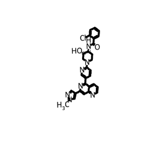 Cn1cc(-c2cc3ncccc3c(-c3ccc(N4CC[C@H](NC(=O)c5ccccc5Cl)[C@@H](O)C4)nc3)n2)cn1